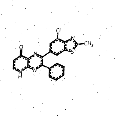 Cc1nc2c(Cl)cc(-c3nc4c(=O)cc[nH]c4nc3-c3ccccc3)cc2s1